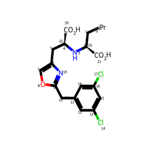 CC(C)C[C@H](N[C@@H](Cc1coc(Cc2cc(Cl)cc(Cl)c2)n1)C(=O)O)C(=O)O